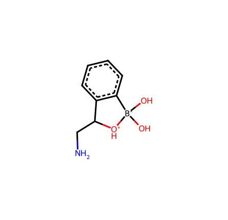 NCC1[OH+][B-](O)(O)c2ccccc21